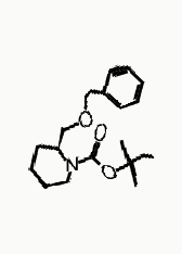 CC(C)(C)OC(=O)N1CCCC[C@H]1COCc1ccccc1